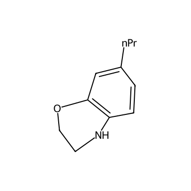 CCCc1ccc2c(c1)OCCN2